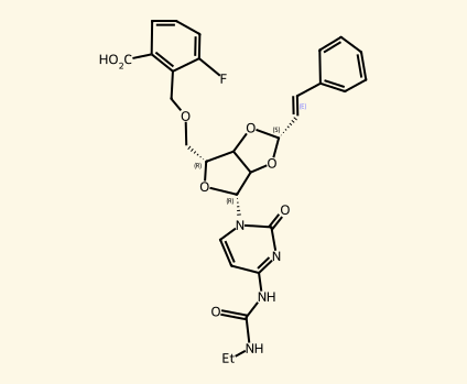 CCNC(=O)Nc1ccn([C@@H]2O[C@H](COCc3c(F)cccc3C(=O)O)C3O[C@H](/C=C/c4ccccc4)OC32)c(=O)n1